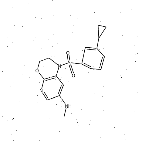 CNc1cnc2c(c1)N(S(=O)(=O)c1cccc(C3CC3)c1)CCO2